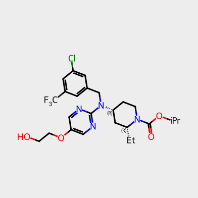 CC[C@@H]1C[C@H](N(Cc2cc(Cl)cc(C(F)(F)F)c2)c2ncc(OCCO)cn2)CCN1C(=O)OC(C)C